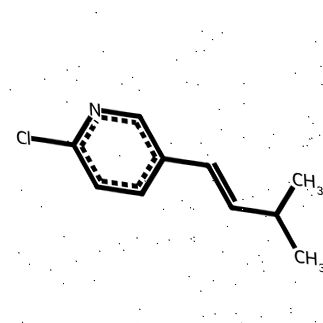 CC(C)/C=C/c1ccc(Cl)nc1